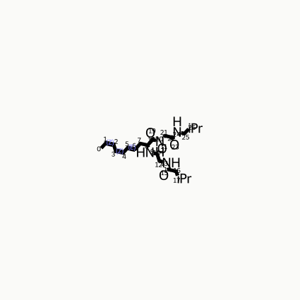 C\C=C/C=C\C=C\CC(NC(=O)CNC(=O)CC(C)C)C(=O)NCC(=O)NCC(C)C